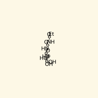 CCOc1ccc(CCNC(=O)c2ccc(CNC(=O)Cc3cccc(C[C@@H](C)NC[C@H](O)c4ccc(O)c(CO)c4)c3)cc2)cc1